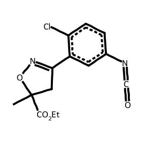 CCOC(=O)C1(C)CC(c2cc(N=C=O)ccc2Cl)=NO1